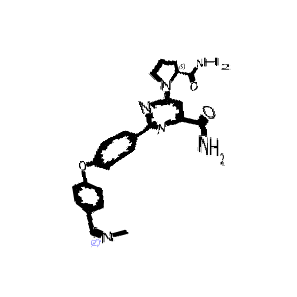 C/N=C\c1ccc(Oc2ccc(-c3nc(C(N)=O)cc(N4CCC[C@H]4C(N)=O)n3)cc2)cc1